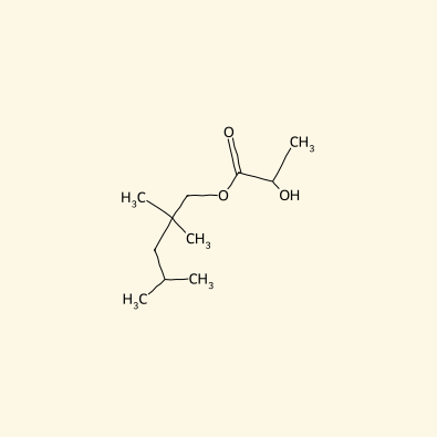 CC(C)CC(C)(C)COC(=O)C(C)O